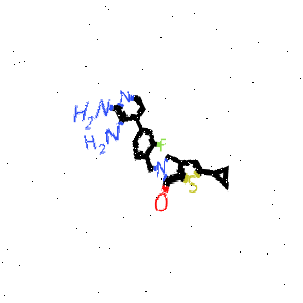 Nc1nccc(-c2ccc(CN3Cc4cc(C5CC5)sc4C3=O)c(F)c2)c1N